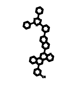 N#Cc1cccc(-c2cc3c4cccnc4c(-c4ccc5cc(-c6cccc(-c7nc(-c8ccccc8)nc(-c8ccccc8)n7)c6)ccc5c4)cc3c3ccccc23)c1